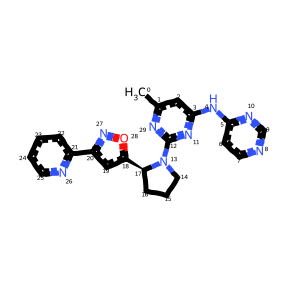 Cc1cc(Nc2ccncn2)nc(N2CCC[C@H]2c2cc(-c3ccccn3)no2)n1